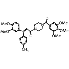 COc1ccc(/C(=C/C(=O)N2CCN(C(=O)c3cc(OC)c(OC)c(OC)c3)CC2)c2ccc(C)cc2)cc1OC